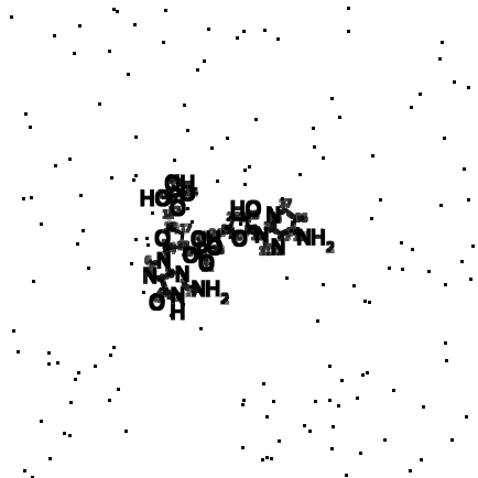 Nc1nc2c(ncn2[C@@H]2O[C@H](COP(=O)(O)O)CC2OP(=O)(O)OC[C@@H]2C[C@@H](O)[C@H](n3cnc4c(N)ccnc43)O2)c(=O)[nH]1